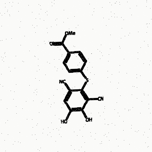 COC(=O)c1ccc(Sc2c(C#N)cc(O)c(O)c2C#N)cc1